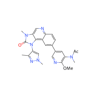 COc1ncc(-c2ccc3ncc4c(c3c2)n(-c2cn(C)nc2C)c(=O)n4C)cc1N(C)C(C)=O